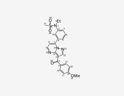 CCN(c1cccc(-c2ccnc3c(C(=O)c4ccc(OC)cc4)cnn23)c1)S(C)(=O)=O